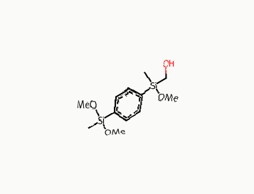 CO[Si](C)(CO)c1ccc([Si](C)(OC)OC)cc1